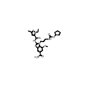 CCn1nc(C)cc1C(O)Nc1nc2cc(C(N)=O)cc(OC)c2n1CCCNC(=O)OC1CCCC1